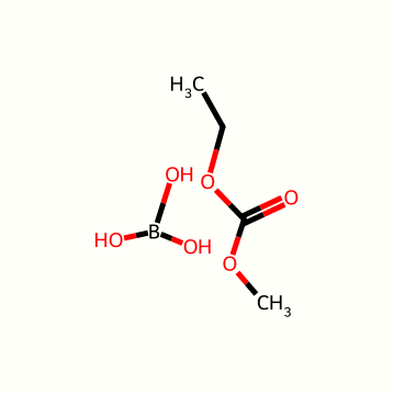 CCOC(=O)OC.OB(O)O